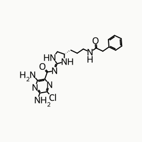 Nc1nc(N)c(C(=O)/N=C2\NC[C@H](CCCNC(=O)Cc3ccccc3)N2)nc1Cl